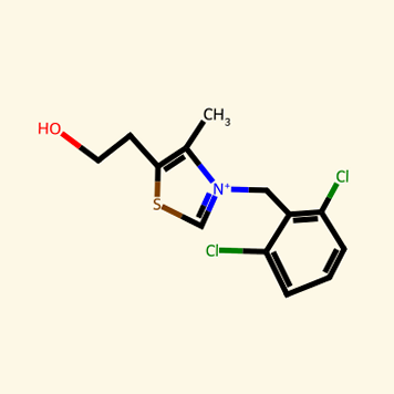 Cc1c(CCO)sc[n+]1Cc1c(Cl)cccc1Cl